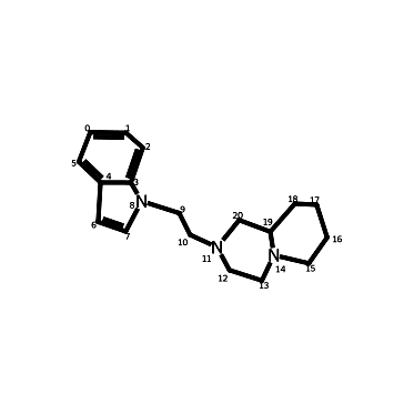 c1ccc2c(c1)ccn2CCN1CCN2CCCCC2C1